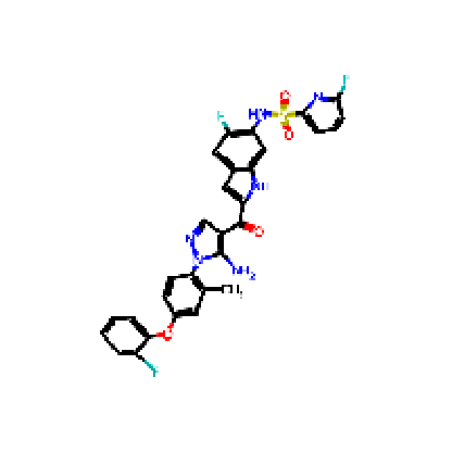 Cc1cc(Oc2ccccc2F)ccc1-n1ncc(C(=O)c2cc3cc(F)c(NS(=O)(=O)c4cccc(F)n4)cc3[nH]2)c1N